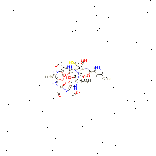 CSCC[C@H](N)C(=O)N[C@H](C(=O)N[C@@H](CS)C(=O)N[C@@H](CO)C(=O)N[C@@H](C)C(=O)N[C@@H](CO)C(=O)N[C@@H](CO)C(=O)N[C@@H](CO)C(=O)O)[C@@H](C)O